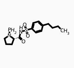 CCCCc1ccc(S(=O)(=O)NC(=O)[C@@H]2CCCN2P)cc1